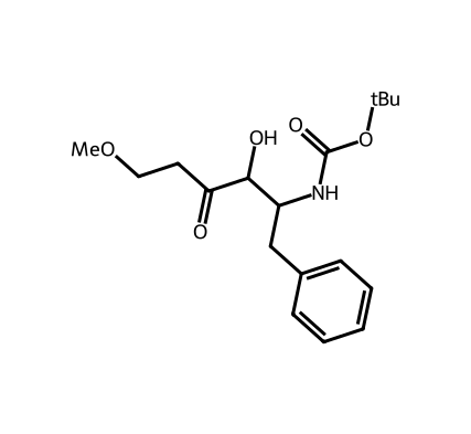 COCCC(=O)C(O)C(Cc1ccccc1)NC(=O)OC(C)(C)C